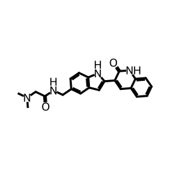 CN(C)CC(=O)NCc1ccc2[nH]c(-c3cc4ccccc4[nH]c3=O)cc2c1